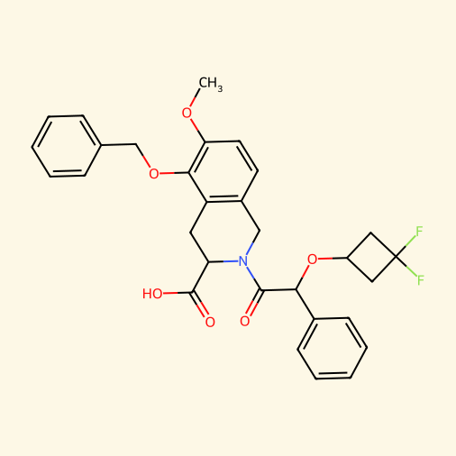 COc1ccc2c(c1OCc1ccccc1)CC(C(=O)O)N(C(=O)C(OC1CC(F)(F)C1)c1ccccc1)C2